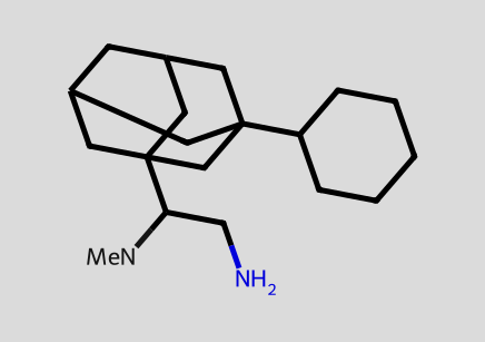 CNC(CN)C12CC3CC(CC(C4CCCCC4)(C3)C1)C2